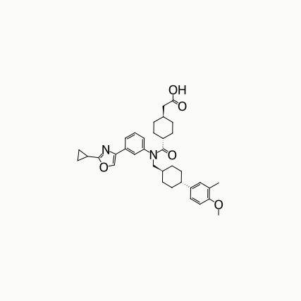 COc1ccc([C@H]2CC[C@H](CN(c3cccc(-c4coc(C5CC5)n4)c3)C(=O)[C@H]3CC[C@H](CC(=O)O)CC3)CC2)cc1C